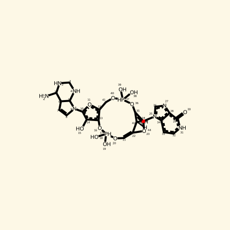 NC1NCNC2C1C=CN2c1oc2c(c1O)O[PH](O)(O)O/C=C1/OC(n3cnc4c(=O)[nH]ccc43)=C(O[PH](O)(O)OC2)[C@@H]1O